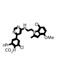 CCCc1cc(-c2cc(NCCn3c(C)cc4c(OC)ccc(Cl)c43)ncn2)cc(Cl)c1C(=O)O